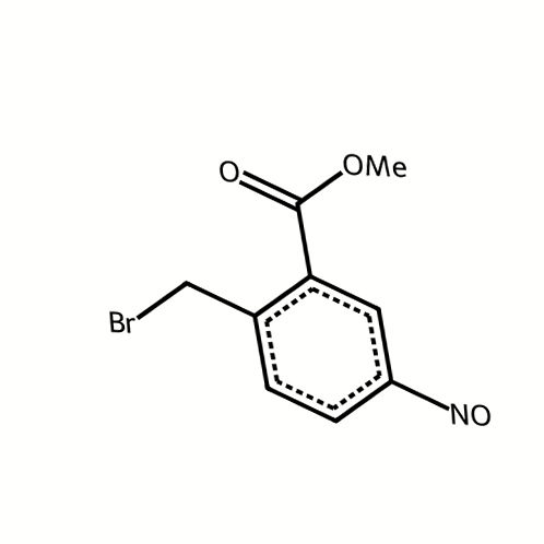 COC(=O)c1cc(N=O)ccc1CBr